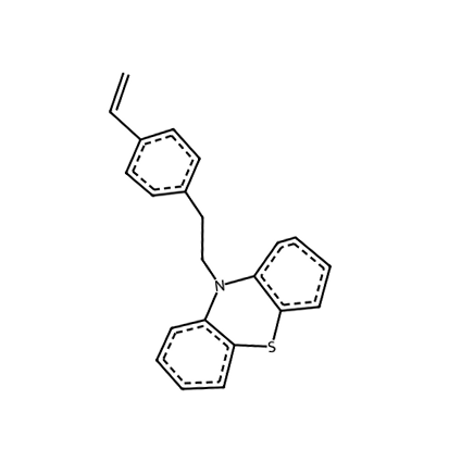 C=Cc1ccc(CCN2c3ccccc3Sc3ccccc32)cc1